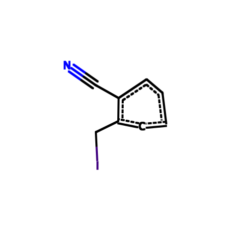 N#Cc1ccccc1CI